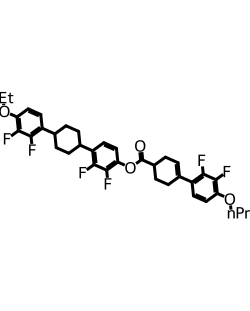 CCCOc1ccc(C2=CCC(C(=O)Oc3ccc(C4CCC(c5ccc(OCC)c(F)c5F)CC4)c(F)c3F)CC2)c(F)c1F